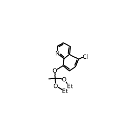 CCOC(C)(OCC)Oc1ccc(Cl)c2cccnc12